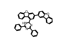 c1ccc(C2=NC(c3cc(-c4ccc5oc6ccccc6c5c4)cc4oc5ccccc5c34)NC(c3ccccc3)=N2)cc1